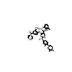 COc1cc(C(=O)N2CCOCC2)ccc1Oc1nc(Nc2ccc(N3CCN(C)C(C)C3)c(F)c2)ncc1C(=O)Nc1c(C)cccc1C